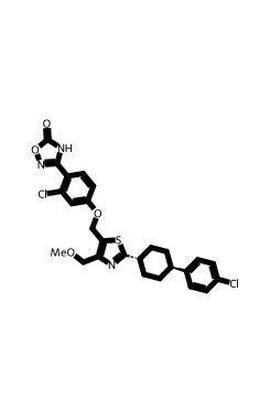 COCc1nc([C@H]2CC[C@H](c3ccc(Cl)cc3)CC2)sc1COc1ccc(-c2noc(=O)[nH]2)c(Cl)c1